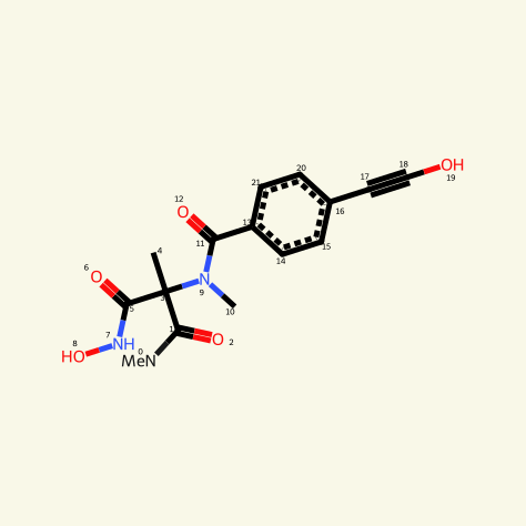 CNC(=O)C(C)(C(=O)NO)N(C)C(=O)c1ccc(C#CO)cc1